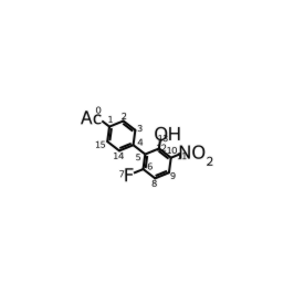 CC(=O)c1ccc(-c2c(F)ccc([N+](=O)[O-])c2O)cc1